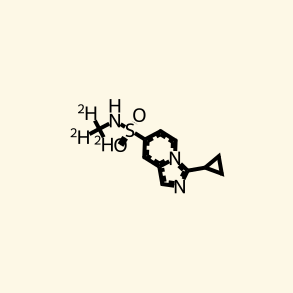 [2H]C([2H])([2H])NS(=O)(=O)c1ccn2c(C3CC3)ncc2c1